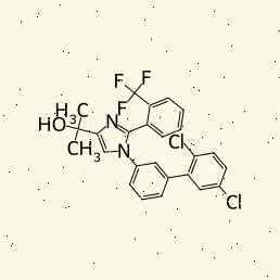 CC(C)(O)c1cn(-c2cccc(-c3cc(Cl)ccc3Cl)c2)c(-c2ccccc2C(F)(F)F)n1